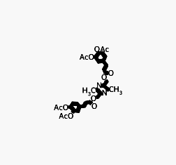 CC(=O)Oc1ccc(/C=C/C(=O)OCc2nc(C)c(COC(=O)/C=C/c3ccc(OC(C)=O)c(OC(C)=O)c3)nc2C)cc1OC(C)=O